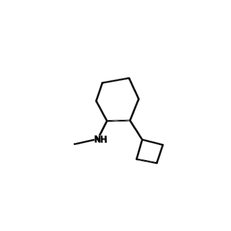 CNC1CCCCC1C1CCC1